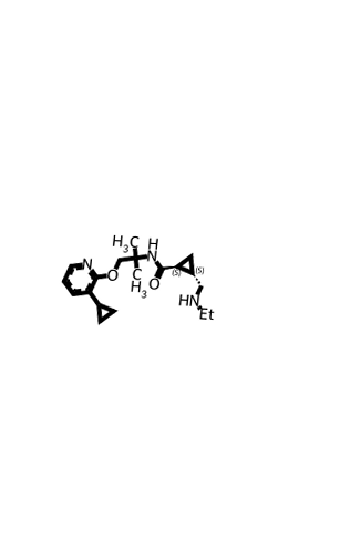 CCNC[C@H]1C[C@@H]1C(=O)NC(C)(C)COc1ncccc1C1CC1